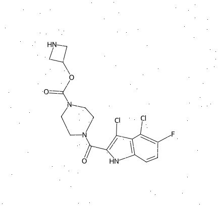 O=C(OC1CNC1)N1CCN(C(=O)c2[nH]c3ccc(F)c(Cl)c3c2Cl)CC1